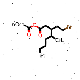 CCCCCCCCC(=O)OC(=O)CC(CCBr)C(C)CCCC(C)C